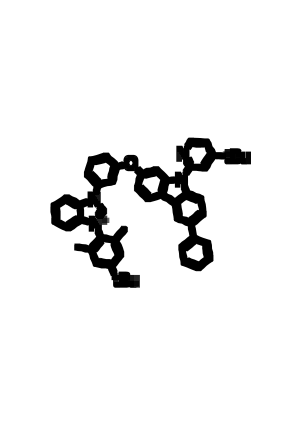 Cc1cc(C(C)(C)C)cc(C)c1-[n+]1cn(-c2cccc(Oc3ccc4c5cc(-c6ccccc6)ccc5n(-c5cc(C(C)(C)C)ccn5)c4c3)c2)c2ccccc21